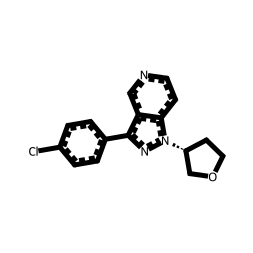 Clc1ccc(-c2nn([C@@H]3CCOC3)c3ccncc23)cc1